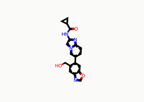 O=C(Nc1cn2cc(-c3cc4ocnc4cc3CO)ccc2n1)C1CC1